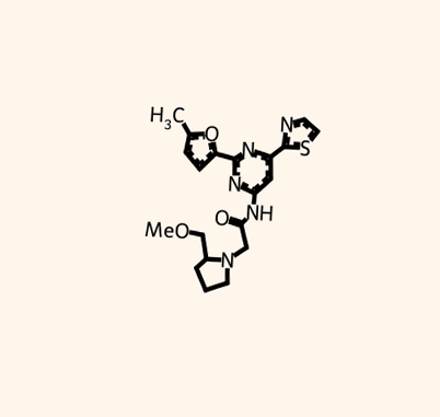 COCC1CCCN1CC(=O)Nc1cc(-c2nccs2)nc(-c2ccc(C)o2)n1